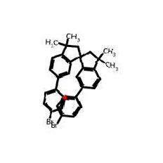 CC1(C)CC2(CC(C)(C)c3ccc(-c4ccc(Br)cc4)cc32)c2cc(-c3ccc(Br)cc3)ccc21